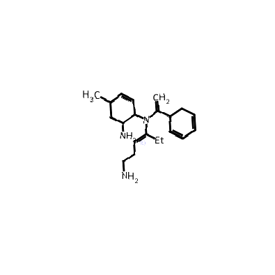 C=C(C1C=CC=CC1)N(/C(=C/CCN)CC)C1C=CC(C)CC1N